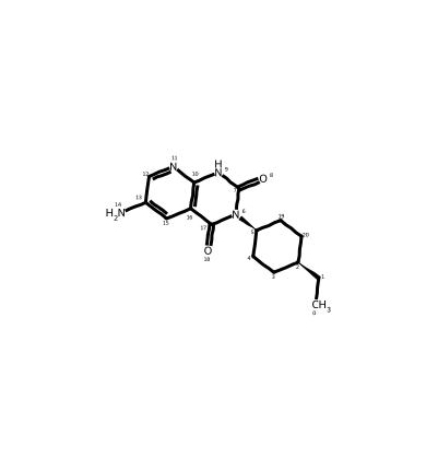 CC[C@H]1CC[C@@H](n2c(=O)[nH]c3ncc(N)cc3c2=O)CC1